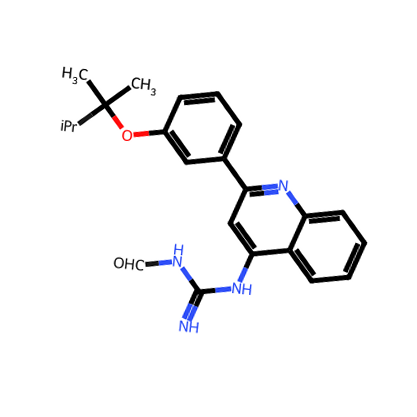 CC(C)C(C)(C)Oc1cccc(-c2cc(NC(=N)NC=O)c3ccccc3n2)c1